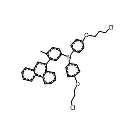 Cc1ccc(N(c2ccc(OCCCCl)cc2)c2ccc(OCCCCl)cc2)cc1-c1cc2ccccc2c2ccccc12